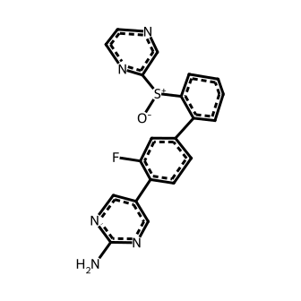 Nc1ncc(-c2ccc(-c3ccccc3[S+]([O-])c3cnccn3)cc2F)cn1